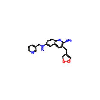 Nc1nc2ccc(NCc3cccnc3)cc2cc1CC1=COOC1